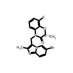 Cc1nc2ccc(Br)cn2c1CN1C(=O)[C@@H](C)Oc2c(F)cccc21